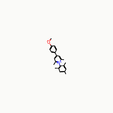 COc1ccc(-c2cc(C)[n+](-c3c(C)cc(C)cc3C)c(C)c2)cc1